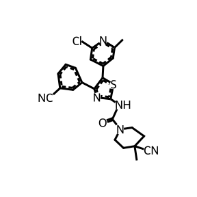 Cc1cc(-c2sc(NC(=O)N3CCC(C)(C#N)CC3)nc2-c2cccc(C#N)c2)cc(Cl)n1